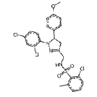 COc1ccc(C2CC(CNS(=O)(=O)c3c(C)cccc3Cl)=NN2c2ccc(Cl)cc2Cl)cc1